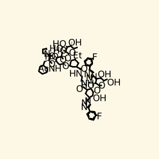 CCC1CC(C(=O)NCCNC(=O)C2CC(n3cc(-c4cccc(F)c4)nn3)C(O)[C@H](O[C@@H]3OC(CO)[C@H](O)C(n4cc(-c5cccc(F)c5)nn4)C3O)C2)C[C@@H](O[C@@H]2OC(CO)[C@H](O)C(O[C@@H](CC3CCCCC3)C(=O)N3CCC3)C2NC(C)=O)C1O[C@@H]1OC(C)[C@@H](O)C(O)C1O